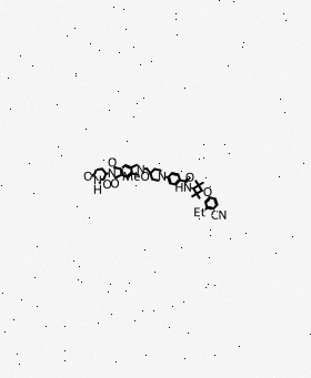 CCc1cc(O[C@H]2C(C)(C)[C@H](NC(=O)c3ccc(N4CCC(CN5Cc6cc7c(cc6C5)C(=O)N(C5CCC(=O)NC5=O)C7=O)(OC)CC4)cc3)C2(C)C)ccc1C#N